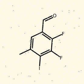 Cc1cc(C=O)c(F)c(F)c1I